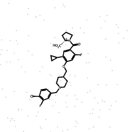 O=C(O)[C@@H]1CCCN1C(=O)c1cc(C2CC2)c(OCC2CCN(Cc3ccc(Cl)c(F)c3)CC2)cc1F